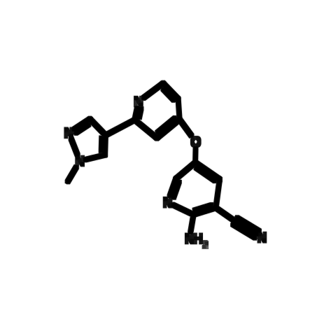 Cn1cc(-c2cc(Oc3cnc(N)c(C#N)c3)ccn2)cn1